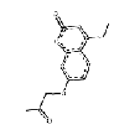 CCc1cc(=O)oc2cc(OCC(C)=O)ccc12